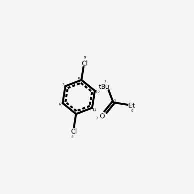 CCC(=O)C(C)(C)C.Clc1ccc(Cl)cc1